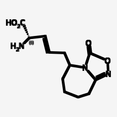 N[C@@H](C=CCC1CCCCc2noc(=O)n21)C(=O)O